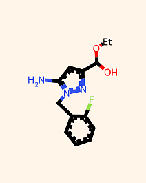 CCOC(O)c1cc(N)n(Cc2ccccc2F)n1